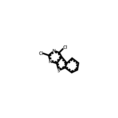 Clc1nc(Cl)c2c(n1)sc1ccccc12